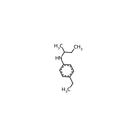 CCc1ccc(NC(C)CC)cc1